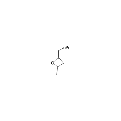 CCCC[C]1CC(C)O1